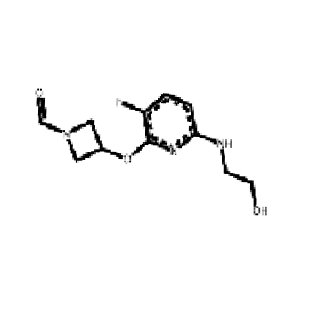 O=CN1CC(Oc2nc(NCCO)ccc2F)C1